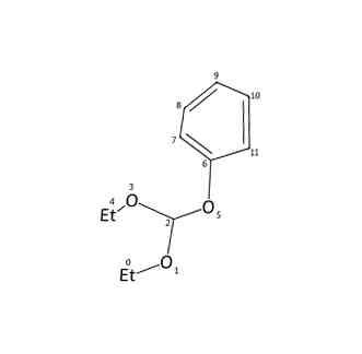 CCOC(OCC)Oc1ccccc1